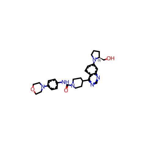 O=C(Nc1ccc(N2CCOCC2)cc1)N1CCC(c2ncnc3cc(N4CCC[C@H]4CO)ccc23)CC1